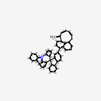 C=C1/C=C\C=C/Cc2cccc3c(-c4ccc5c(c4)C4(c6ccccc6-5)c5ccccc5-n5c6ccccc6c6cccc4c65)ccc1c23